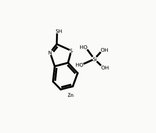 O[Si](O)(O)O.Sc1nc2ccccc2s1.[Zn]